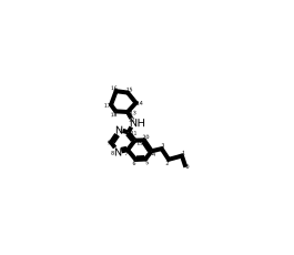 CCCCc1ccc2ncnc(NC3CCCCC3)c2c1